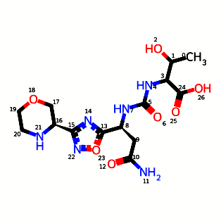 CC(O)C(NC(=O)N[C@@H](CC(N)=O)c1nc([C@@H]2COCCN2)no1)C(=O)O